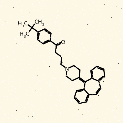 CC(C)(C)c1ccc(C(=O)CCCN2CCC(=C3c4ccccc4C=Cc4ccccc43)CC2)cc1